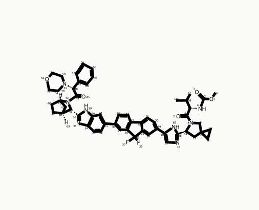 COC(=O)N[C@H](C(=O)N1CC2(CC2)C[C@H]1c1ncc(-c2ccc3c(c2)C(F)(F)c2cc(-c4ccc5nc([C@@H]6[C@H]7CC[C@H](C7)N6C(=O)[C@@H](c6ccccc6)N6CCOCC6)[nH]c5c4)ccc2-3)[nH]1)C(C)C